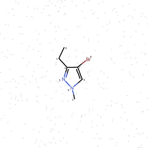 CCc1nn(C)cc1Br